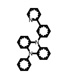 c1ccc(N2c3ccccc3N(c3cccc(-c4ccccn4)c3)c3ccccc32)cc1